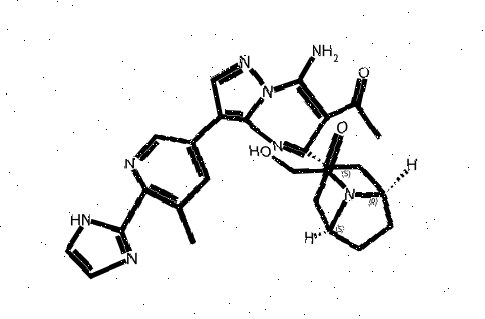 CC(=O)c1c([C@@H]2C[C@H]3CC[C@@H](C2)N3C(=O)CO)nc2c(-c3cnc(-c4ncc[nH]4)c(C)c3)cnn2c1N